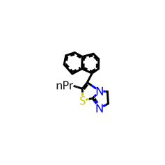 CCCC1=C(c2cccc3ccccc23)N2CCN=C2S1